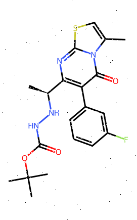 Cc1csc2nc([C@H](C)NNC(=O)OC(C)(C)C)c(-c3cccc(F)c3)c(=O)n12